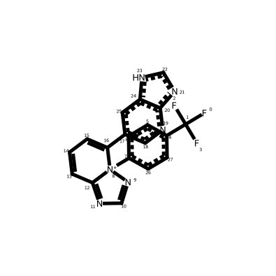 FC(F)(F)c1ccc([N+]23N=CN=C2C=CC=C3c2cnc3nc[nH]c3c2)cc1